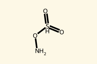 NO[SH](=O)=O